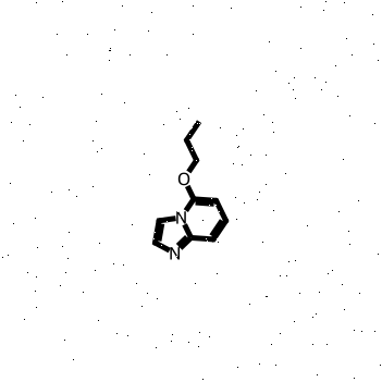 CCCOc1cccc2nccn12